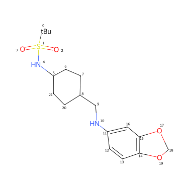 CC(C)(C)S(=O)(=O)NC1CCC(CNc2ccc3c(c2)OCO3)CC1